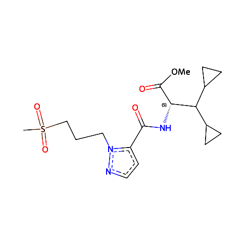 COC(=O)[C@@H](NC(=O)c1ccnn1CCCS(C)(=O)=O)C(C1CC1)C1CC1